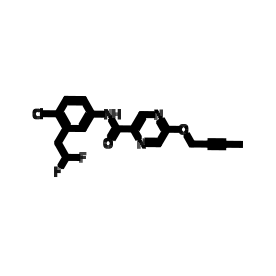 CC#CCOc1cnc(C(=O)Nc2ccc(Cl)c(CC(F)F)c2)cn1